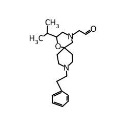 CC(C)C1CN(CC=O)CC2(CCN(CCc3ccccc3)CC2)O1